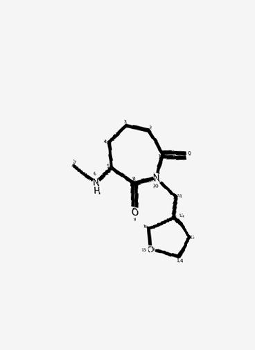 C=C1CCCC(NC)C(=O)N1CC1CCOC1